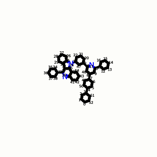 c1ccc(-c2ccc(-c3cc(-c4ccccc4)nc(-c4cccc(-n5c6ccccc6c6c(-c7ccccc7)nc7ccccc7c65)c4)c3)cc2)cc1